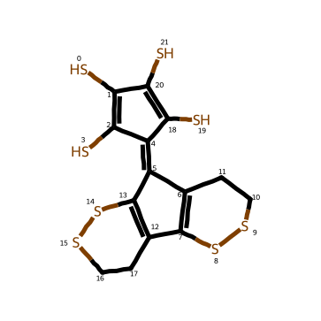 SC1=C(S)C(=C2C3=C(SSCC3)C3=C2SSCC3)C(S)=C1S